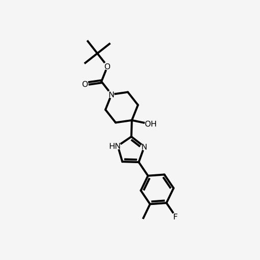 Cc1cc(-c2c[nH]c(C3(O)CCN(C(=O)OC(C)(C)C)CC3)n2)ccc1F